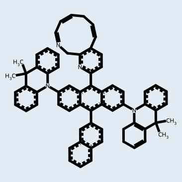 CC1(C)C2=C(CCC=C2)N(c2ccc3c(-c4ccc5c(n4)C/N=C\C=C/C/C=C\5)c4cc(N5c6ccccc6C(C)(C)c6ccccc65)ccc4c(-c4ccc5ccccc5c4)c3c2)c2ccccc21